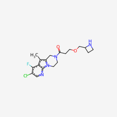 Cc1c2n(c3ncc(Cl)c(F)c13)CCN(C(=O)CCOCC1CCN1)C2